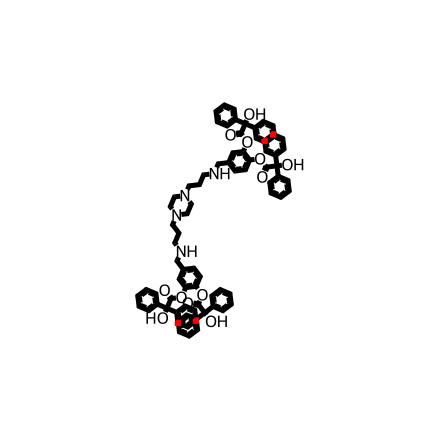 O=C(Oc1ccc(CNCCCN2CCN(CCCNCc3ccc(OC(=O)C(O)(c4ccccc4)c4ccccc4)c(OC(=O)C(O)(c4ccccc4)c4ccccc4)c3)CC2)cc1OC(=O)C(O)(c1ccccc1)c1ccccc1)C(O)(c1ccccc1)c1ccccc1